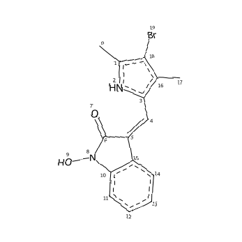 Cc1[nH]c(C=C2C(=O)N(O)c3ccccc32)c(C)c1Br